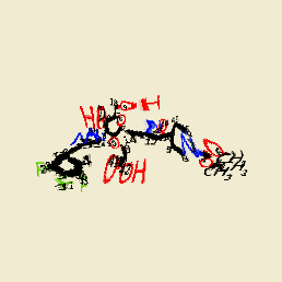 CC(C)(C)OC(=O)N1CCC(c2cc(C[C@H]3O[C@H](CO)[C@H](O)[C@H](n4cc(-c5cc(F)c(F)c(F)c5)nn4)[C@H]3OCC(=O)O)no2)CC1